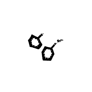 [S-]c1ccccc1.[S-]c1ccccc1.[Sn+2]